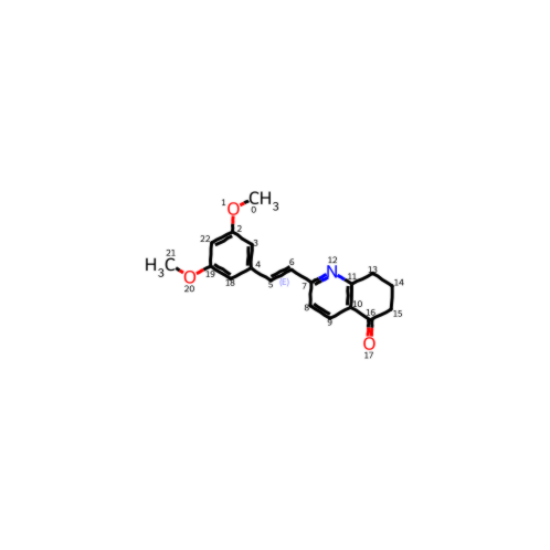 COc1cc(/C=C/c2ccc3c(n2)CCCC3=O)cc(OC)c1